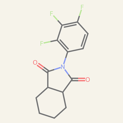 O=C1C2CCCCC2C(=O)N1c1ccc(F)c(F)c1F